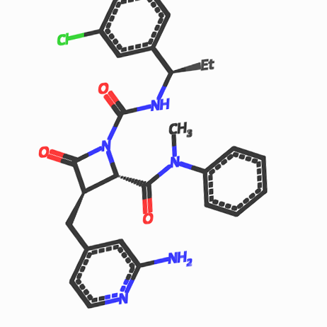 CC[C@@H](NC(=O)N1C(=O)[C@H](Cc2ccnc(N)c2)[C@H]1C(=O)N(C)c1ccccc1)c1cccc(Cl)c1